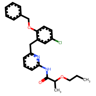 CCCOC(C)C(=O)Nc1cccc(Cc2cc(Cl)ccc2OCc2ccccc2)n1